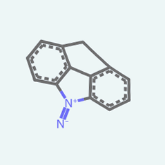 [N-]=[N+]1c2cccc3c2-c2c(cccc21)C3